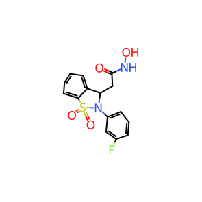 O=C(CC1c2ccccc2S(=O)(=O)N1c1cccc(F)c1)NO